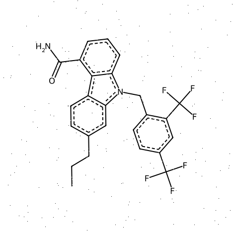 CCCc1c[c]c2c3c(C(N)=O)cccc3n(Cc3ccc(C(F)(F)F)cc3C(F)(F)F)c2c1